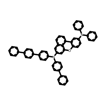 c1ccc(-c2ccc(-c3ccc(N(c4ccc(-c5ccccc5)cc4)c4cc5c6c(cccc6c4)-c4cc(N(c6ccccc6)c6ccccc6)ccc4O5)cc3)cc2)cc1